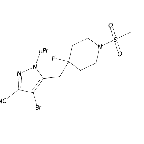 CCCn1nc(C#N)c(Br)c1CC1(F)CCN(S(C)(=O)=O)CC1